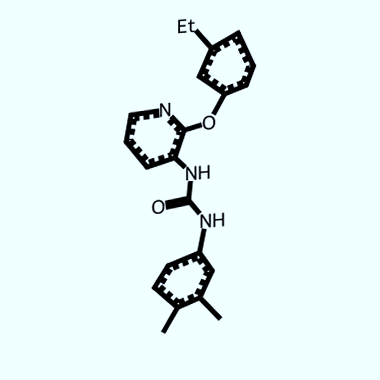 CCc1cccc(Oc2ncccc2NC(=O)Nc2ccc(C)c(C)c2)c1